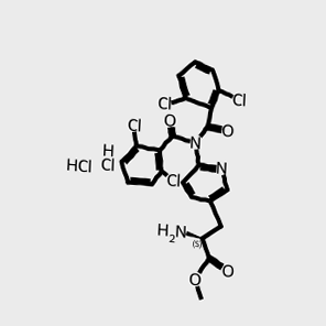 COC(=O)[C@@H](N)Cc1ccc(N(C(=O)c2c(Cl)cccc2Cl)C(=O)c2c(Cl)cccc2Cl)nc1.Cl.Cl